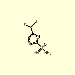 N=S(N)(=O)c1nc(C(F)F)cs1